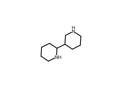 C1CCC(C2CCCNC2)NC1